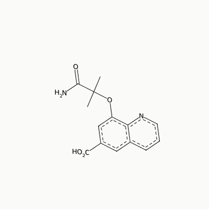 CC(C)(Oc1cc(C(=O)O)cc2cccnc12)C(N)=O